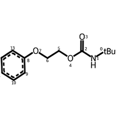 CC(C)(C)NC(=O)OCCOc1ccccc1